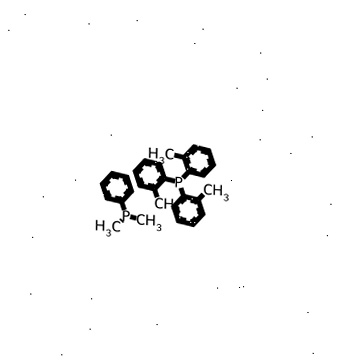 CP(C)c1ccccc1.Cc1ccccc1P(c1ccccc1C)c1ccccc1C